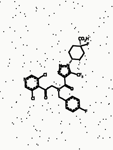 O=C(CN(Cc1ccc(F)cc1)C(=O)c1cnn([C@H]2CC[C@@](F)(C(=O)O)CC2)c1C(F)(F)F)c1c(Cl)cncc1Cl